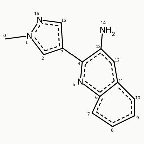 Cn1cc(-c2nc3ccccc3cc2N)cn1